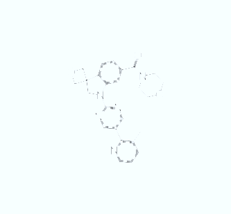 Cc1cccnc1-c1cnc(N2CC3(COC3)c3ccc(C(=O)N4CCOCC4)cc32)nc1